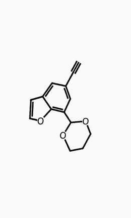 C#Cc1cc(C2OCCCO2)c2occc2c1